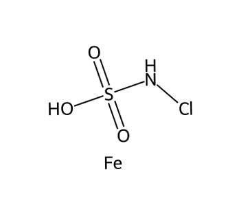 O=S(=O)(O)NCl.[Fe]